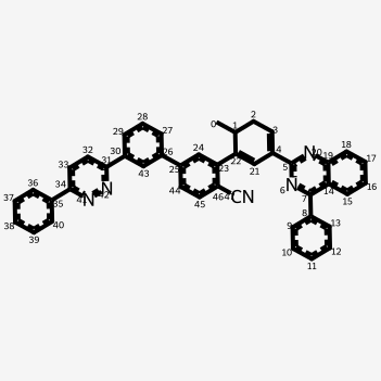 CC1CC=C(c2nc(-c3ccccc3)c3ccccc3n2)C=C1c1cc(-c2cccc(-c3ccc(-c4ccccc4)nn3)c2)ccc1C#N